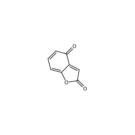 O=C1C=C2C(=O)C=CC=C2O1